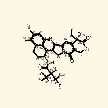 CC[C@@]1(O)C(=O)OCc2c1cc1n(c2=O)Cc2c-1nc1cc(F)c(C)c3c1c2[C@@H](NC(=O)[C@@](C)(C(C)(C)C)C(F)(F)F)CC3